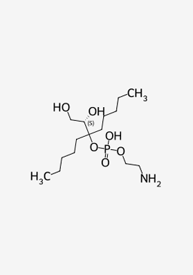 CCCCCC(CCCCC)(OP(=O)(O)OCCN)[C@@H](O)CO